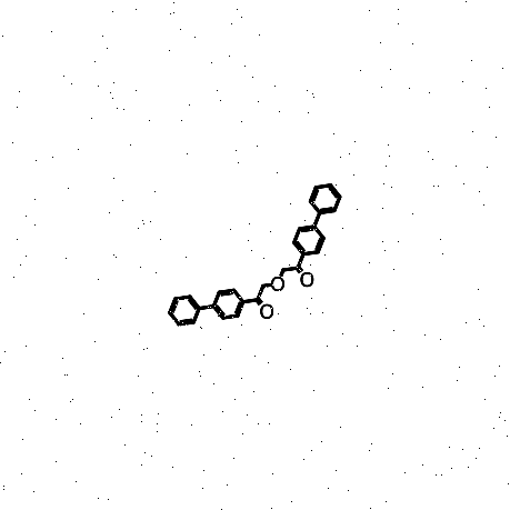 O=C(COCC(=O)c1ccc(-c2ccccc2)cc1)c1ccc(-c2ccccc2)cc1